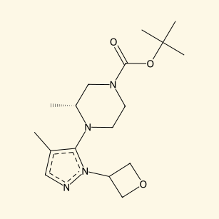 Cc1cnn(C2COC2)c1N1CCN(C(=O)OC(C)(C)C)C[C@H]1C